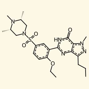 CCCc1nn(C)c2c(=O)[nH]c(-c3cc(S(=O)(=O)N4C[C@@H](C)N(C)[C@@H](C)C4)ccc3OCC)nc12